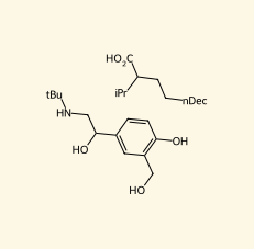 CC(C)(C)NCC(O)c1ccc(O)c(CO)c1.CCCCCCCCCCCCC(C(=O)O)C(C)C